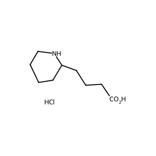 Cl.O=C(O)CCCC1CCCCN1